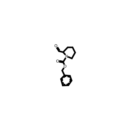 O=CC1CCCCN1C(=O)OCc1ccccc1